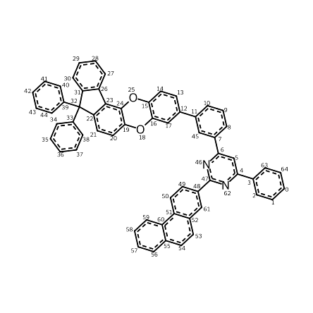 c1ccc(-c2cc(-c3cccc(-c4ccc5c(c4)Oc4ccc6c(c4O5)-c4ccccc4C6(c4ccccc4)c4ccccc4)c3)nc(-c3ccc4c(ccc5ccccc54)c3)n2)cc1